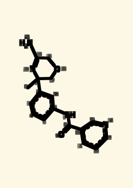 CC1(c2cccc(NC(=O)c3cccnc3)c2)COCC(N)=N1